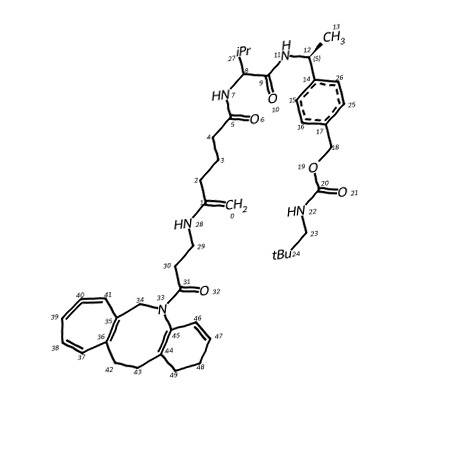 C=C(CCCC(=O)NC(C(=O)N[C@@H](C)c1ccc(COC(=O)NCC(C)(C)C)cc1)C(C)C)NCCC(=O)N1CC2=C(C=CC=C=C2)CCC2=C1C=CCC2